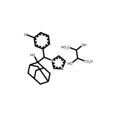 O=C(O)C(O)C(O)C(=O)O.OC1(C(c2cccc(Cl)c2)n2ccnc2)C2CC3CC(C2)CC1C3